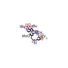 COc1ccc2cc1CCC(=O)Nc1ccc(S(=O)(=O)C(F)(F)F)c(c1)CN(C)C(=O)C2Nc1ccc2c(N(C(=O)OC(C)(C)C)C(=O)OC(C)(C)C)nccc2c1